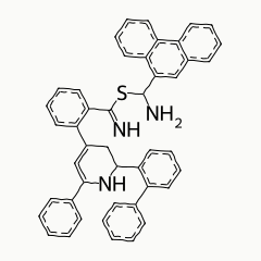 N=C(SC(N)c1cc2ccccc2c2ccccc12)c1ccccc1C1=C=C(c2ccccc2)NC(c2ccccc2-c2ccccc2)C1